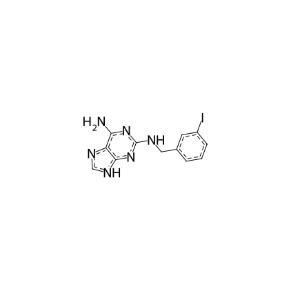 Nc1nc(NCc2cccc(I)c2)nc2[nH]cnc12